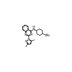 Cc1cc(C)n(-c2nc(NC3CCC(C(C)(C)C)CC3)c3ccccc3n2)n1